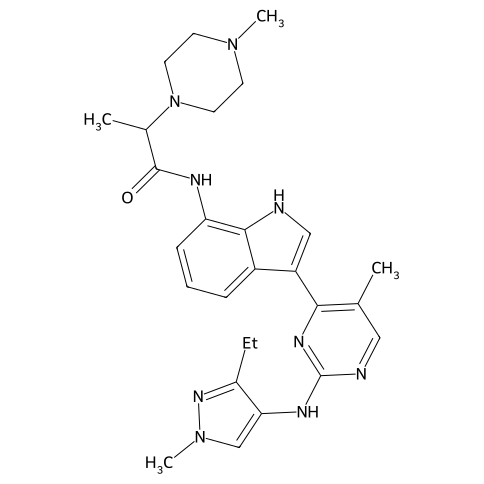 CCc1nn(C)cc1Nc1ncc(C)c(-c2c[nH]c3c(NC(=O)C(C)N4CCN(C)CC4)cccc23)n1